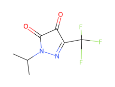 CC(C)N1N=C(C(F)(F)F)C(=O)C1=O